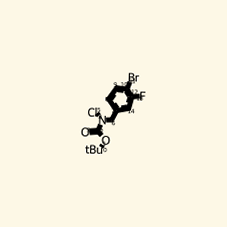 CC(C)(C)OC(=O)N(Cl)Cc1ccc(Br)c(F)c1